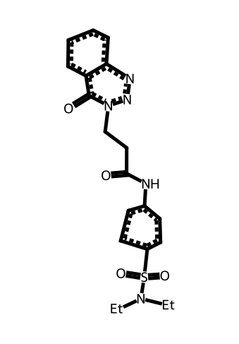 CCN(CC)S(=O)(=O)c1ccc(NC(=O)CCn2nnc3ccccc3c2=O)cc1